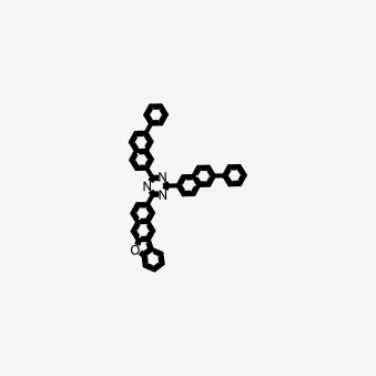 c1ccc(-c2ccc3cc(-c4nc(-c5ccc6ccc(-c7ccccc7)cc6c5)nc(-c5ccc6cc7oc8ccccc8c7cc6c5)n4)ccc3c2)cc1